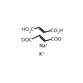 O=C(O)C=CC(=O)O.O=C([O-])C=CC(=O)[O-].[K+].[Na+]